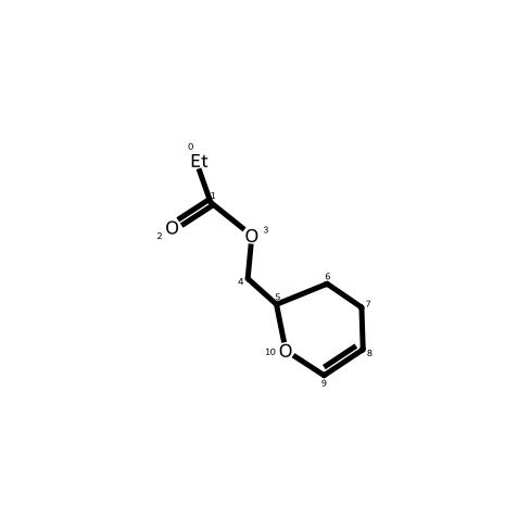 CCC(=O)OCC1CCC=CO1